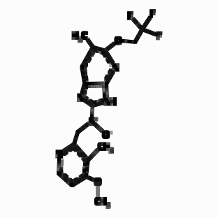 COc1ccnc(C[S+]([O-])c2nc3cc(C)c(OCC(F)(F)F)nc3[nH]2)c1C